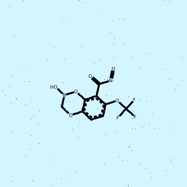 O=NC(=O)c1c(OC(F)(F)F)ccc2c1OB(O)CO2